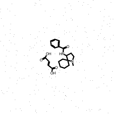 CN1CCC(NC(=O)c2ccccc2)C12CCCCC2.O=C(O)/C=C/C(=O)O